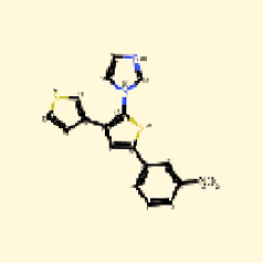 O=[N+]([O-])c1cccc(-c2cc(-c3ccsc3)c(-n3ccnc3)s2)c1